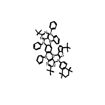 CC(C)(C)c1nc2c3c(n1)N(c1ccccc1)c1cc4c(cc1B3c1ccccc1N2c1ccccc1)B1c2c(nc(C(C)(C)C)nc2N(c2ccc3c(c2)C(C)(C)CCC3(C)C)c2sc3c(C(C)(C)C)cccc3c21)N4c1ccccc1